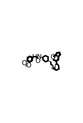 O=C(Cc1ccc2c(c1)OCO2)N[C@H]1CC[C@H](CCN2CCCCC2c2coc3cccc-3c2)CC1